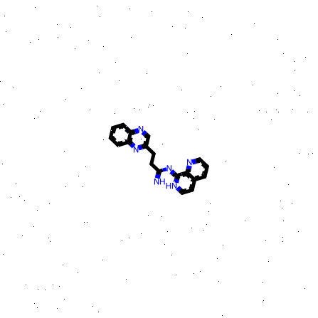 N=C(CCc1cnc2ccccc2n1)/N=c1\[nH]ccc2cccnc12